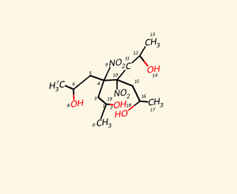 CC(O)CC(CC(C)O)([N+](=O)[O-])C(CC(C)O)(CC(C)O)[N+](=O)[O-]